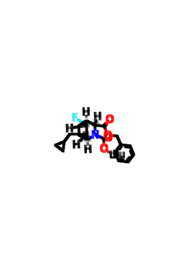 CC(C)(C)OC(=O)N1[C@H]2CC[C@H]([C@@H](F)[C@H]2CC2CC2)[C@@H]1C(=O)OCc1ccccc1